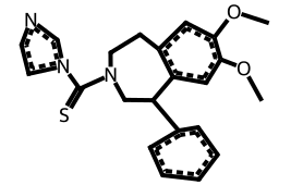 COc1cc2c(cc1OC)C(c1ccccc1)CN(C(=S)n1ccnc1)CC2